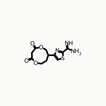 N=C(N)c1nc(C2CCOC(=O)CC(=O)OC2)cs1